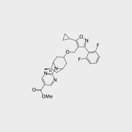 COC(=O)c1cnc(N2C3CC(OCc4c(-c5c(F)cccc5F)noc4C4CC4)CC2[C@H](C)C3)nc1